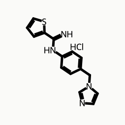 Cl.N=C(Nc1ccc(Cn2ccnc2)cc1)c1cccs1